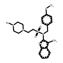 CC(=O)N1CCN(CCS(=O)(=O)N(Cc2ccc(OC(F)(F)F)cc2)c2sc3ccccc3c2C)CC1